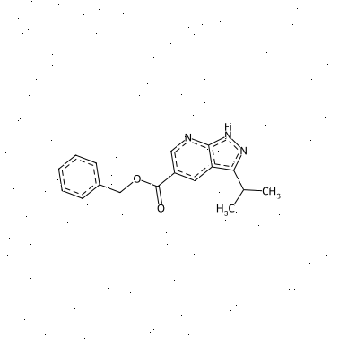 CC(C)c1n[nH]c2ncc(C(=O)OCc3ccccc3)cc12